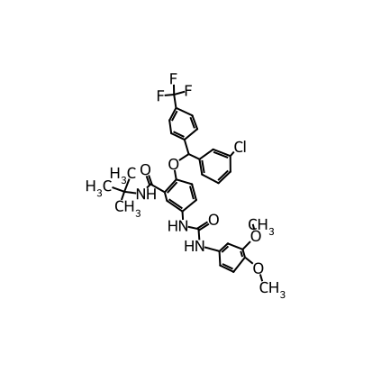 COc1ccc(NC(=O)Nc2ccc(OC(c3ccc(C(F)(F)F)cc3)c3cccc(Cl)c3)c(C(=O)NC(C)(C)C)c2)cc1OC